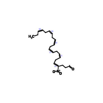 CC/C=C\C/C=C\C/C=C\C/C=C\C/C=C\C/C=C(\CC[C]=O)[N+](=O)[O-]